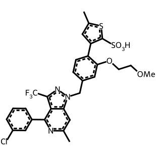 COCCOc1cc(Cn2nc(C(F)(F)F)c3c(-c4cccc(Cl)c4)nc(C)cc32)ccc1-c1cc(C)sc1S(=O)(=O)O